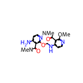 CNC(=O)c1c(N)ccnc1OCNc1ccnc(OC)c1C(=O)NC